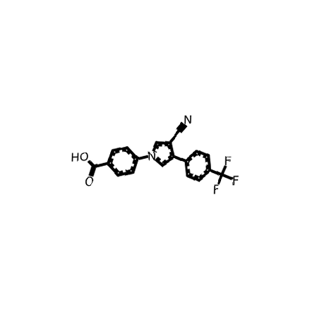 N#Cc1cn(-c2ccc(C(=O)O)cc2)cc1-c1ccc(C(F)(F)F)cc1